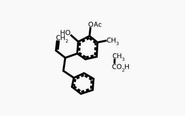 C=CC(Cc1ccccc1)c1ccc(C)c(OC(C)=O)c1O.CC(=O)O